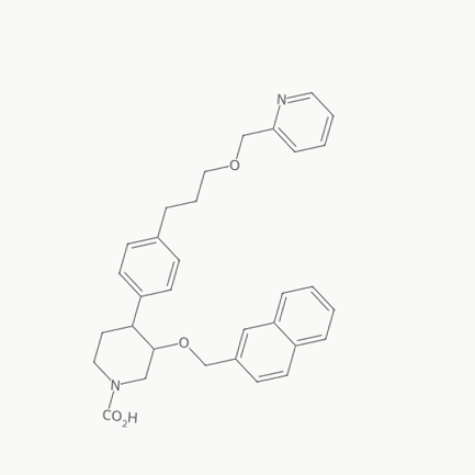 O=C(O)N1CCC(c2ccc(CCCOCc3ccccn3)cc2)C(OCc2ccc3ccccc3c2)C1